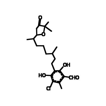 Cc1c(Cl)c(O)c(CCC(C)CCCC(C)C2CC(=O)C(C)(C)O2)c(O)c1C=O